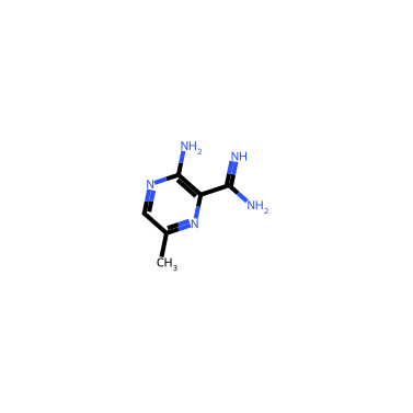 Cc1cnc(N)c(C(=N)N)n1